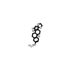 COC1=CCC2=C(CCC3[C@@H]2CCC2(C)[C@H]3CCC23OCCO3)C1